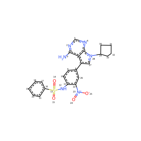 Nc1ncnc2c1c(-c1ccc(NS(=O)(=O)c3ccccc3)c([N+](=O)[O-])c1)cn2C1CCCC1